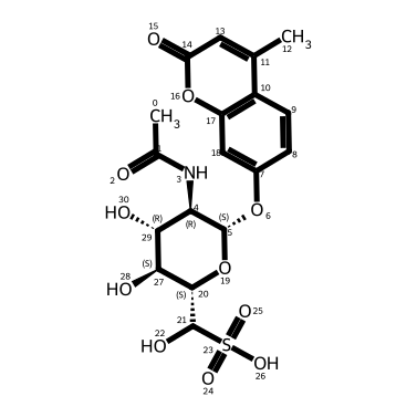 CC(=O)N[C@H]1[C@H](Oc2ccc3c(C)cc(=O)oc3c2)O[C@H](C(O)S(=O)(=O)O)[C@@H](O)[C@@H]1O